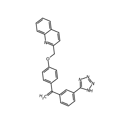 C=C(c1ccc(OCc2ccc3ccccc3n2)cc1)c1cccc(-c2nnn[nH]2)c1